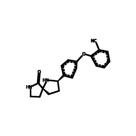 N#Cc1ccccc1Oc1ccc([C@H]2CC[C@]3(CCNC3=O)N2)cc1